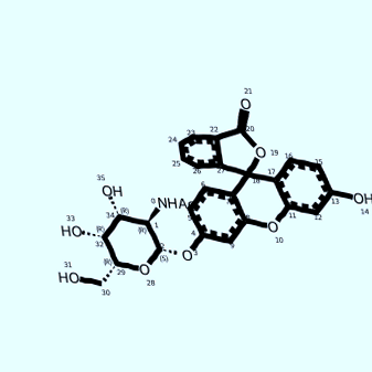 CC(=O)N[C@H]1[C@H](Oc2ccc3c(c2)Oc2cc(O)ccc2C32OC(=O)c3ccccc32)O[C@H](CO)[C@H](O)[C@@H]1O